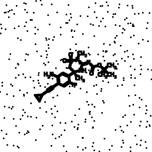 CN1/C(=N/C(=O)OC(C)(C)C)N[C@](C)(c2cc(N)c(C#CC3CC3)cc2F)CS1(=O)=O